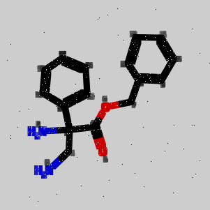 NCC(N)(C(=O)OCc1ccccc1)c1ccccc1